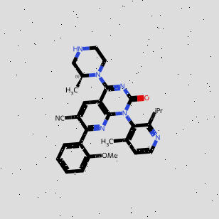 COc1ccccc1-c1nc2c(cc1C#N)c(N1CCNC[C@@H]1C)nc(=O)n2-c1c(C)ccnc1C(C)C